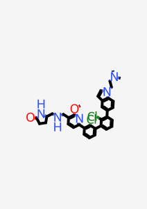 COc1nc(-c2cccc(-c3cccc(-c4ccc5c(ccn5CCN(C)C)c4)c3Cl)c2Cl)ccc1CNCC1CCC(=O)N1